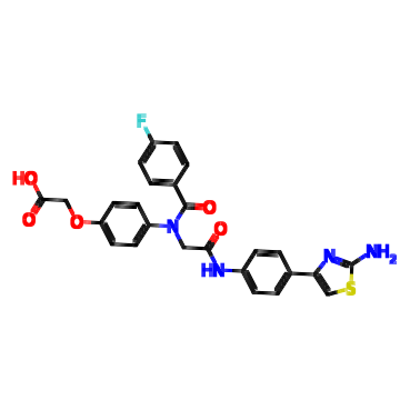 Nc1nc(-c2ccc(NC(=O)CN(C(=O)c3ccc(F)cc3)c3ccc(OCC(=O)O)cc3)cc2)cs1